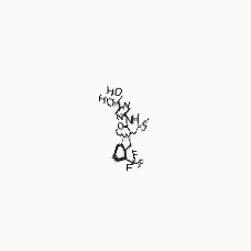 CSCCC(C(=O)Nc1cnc([C@H](O)CO)cn1)N1Cc2c(cccc2C(F)(F)F)C1=O